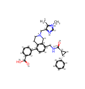 Cc1c(CN2CCc3c(-c4cccc(C(=O)O)c4)ccc(CNC(=O)[C@H]4C[C@@H]4c4ccccc4)c3C2)ncn1C